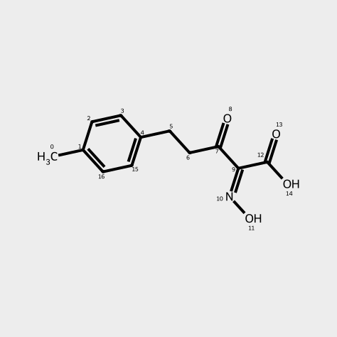 Cc1ccc(CCC(=O)C(=NO)C(=O)O)cc1